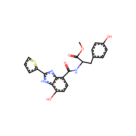 COC(=O)C(Cc1ccc(O)cc1)NC(=O)c1ccc(O)c2[nH]c(-c3cccs3)nc12